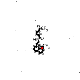 O=C(NCC[N+]1(OC(=O)C(F)(F)F)CCCc2ccccc21)c1ccc(C(=O)C(F)(F)F)s1